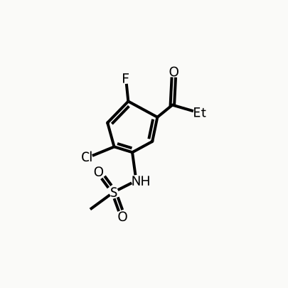 CCC(=O)c1cc(NS(C)(=O)=O)c(Cl)cc1F